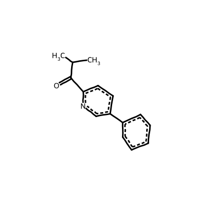 CC(C)C(=O)c1ccc(-c2ccccc2)cn1